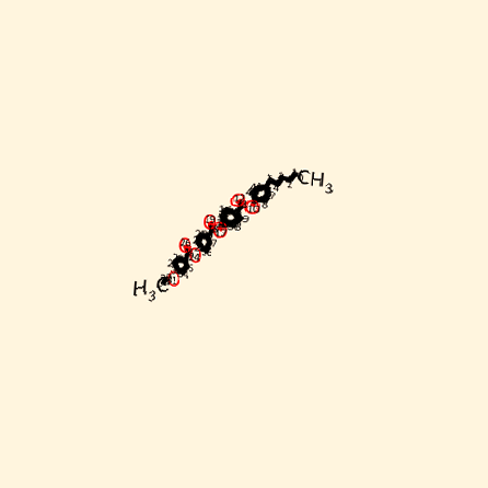 CCCCCCc1ccc(OC(=O)c2ccc(OC(=O)c3ccc(OC(=O)c4ccc(OCC)cc4)cc3)cc2)cc1